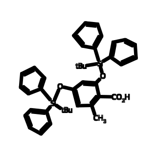 Cc1cc(O[Si](c2ccccc2)(c2ccccc2)C(C)(C)C)cc(O[Si](c2ccccc2)(c2ccccc2)C(C)(C)C)c1C(=O)O